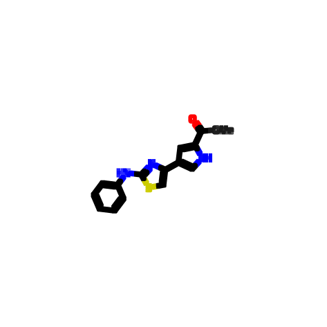 COC(=O)c1cc(-c2csc(Nc3ccccc3)n2)c[nH]1